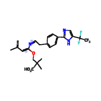 C=C(C)/C=C(\N=C/Cc1ccc(-c2ncc(C(F)(F)C(F)(F)F)[nH]2)cc1)OCC(C)(C)C(=O)O